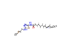 CCCCCCCC/C=C/CCCCCCCC(=O)Nc1nnc(NCCSCC)s1